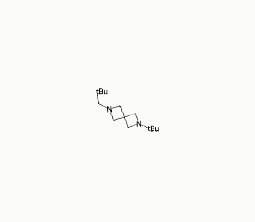 CC(C)(C)CN1CC2(C1)CN(C(C)(C)C)C2